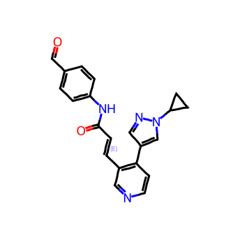 O=Cc1ccc(NC(=O)/C=C/c2cnccc2-c2cnn(C3CC3)c2)cc1